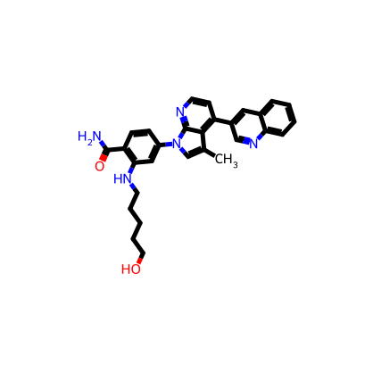 Cc1cn(-c2ccc(C(N)=O)c(NCCCCCO)c2)c2nccc(-c3cnc4ccccc4c3)c12